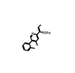 C/C=C(\NC)c1cc(C)c(-c2ccccc2C)cn1